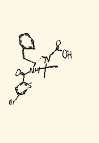 CC(C)(C)N(C[C@@H](Cc1ccccc1)NC(=O)c1cc(Br)cs1)C(=O)O